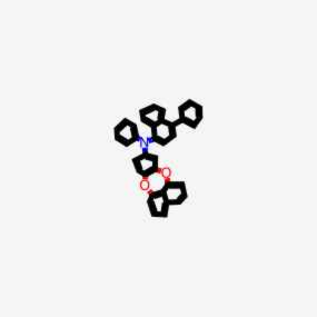 c1ccc(-c2ccc(N(c3ccccc3)c3ccc4c(c3)Oc3cccc5cccc(c35)O4)c3ccccc23)cc1